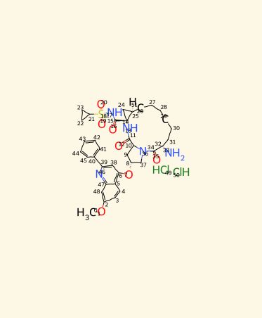 COc1ccc2c(O[C@@H]3CC4C(=O)N[C@]5(C(=O)NS(=O)(=O)C6CC6)C[C@H]5CCCCCC[C@H](N)C(=O)N4C3)cc(-c3ccccc3)nc2c1.Cl.Cl